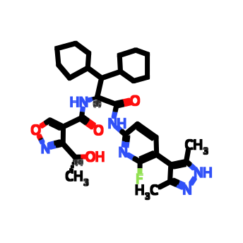 Cc1n[nH]c(C)c1-c1ccc(NC(=O)[C@@H](NC(=O)c2conc2[C@@H](C)O)C(C2CCCCC2)C2CCCCC2)nc1F